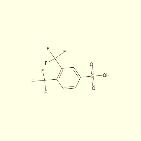 O=S(=O)(O)c1ccc(C(F)(F)F)c(C(F)(F)F)c1